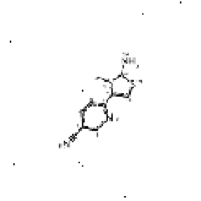 CN1C(c2ccc(C#N)cn2)=CSC1N